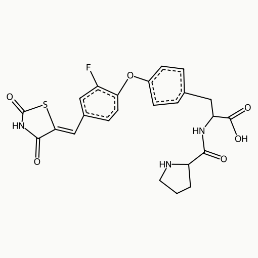 O=C1NC(=O)C(=Cc2ccc(Oc3ccc(CC(NC(=O)C4CCCN4)C(=O)O)cc3)c(F)c2)S1